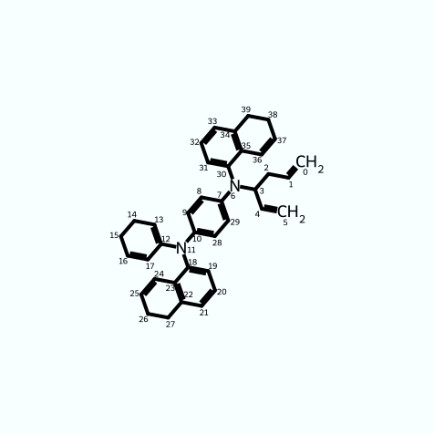 C=CCC(C=C)N(c1ccc(N(C2=CCCC=C2)c2cccc3c2C=CCC3)cc1)c1cccc2c1C=CCC2